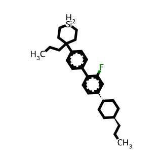 CCCC1(c2ccc(-c3ccc([C@H]4CC[C@H](CCC)CC4)cc3F)cc2)CC[SiH2]CC1